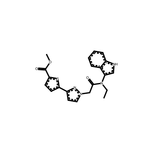 CCN(C(=O)Cn1ccc(-c2ccc(C(=O)OC)s2)n1)c1c[nH]c2ccccc12